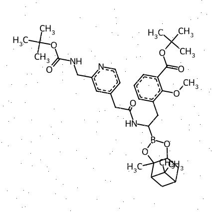 COc1c(CC(NC(=O)Cc2ccnc(CNC(=O)OC(C)(C)C)c2)B2OC3CC4CC(C4(C)C)C3(C)O2)cccc1C(=O)OC(C)(C)C